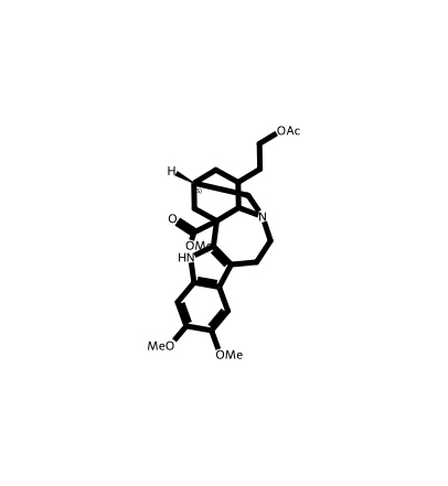 COC(=O)C12C[C@@H]3CC(CCOC(C)=O)C1N(CCc1c2[nH]c2cc(OC)c(OC)cc12)C3